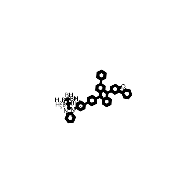 BC(B)(B)C(B)(B)c1nc2ccccc2n1-c1ccc(-c2ccc(-c3c4ccccc4c(-c4ccc5oc6ccccc6c5c4)c4cc(-c5ccccc5)ccc34)cc2)cc1